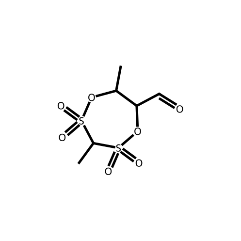 CC1OS(=O)(=O)C(C)S(=O)(=O)OC1C=O